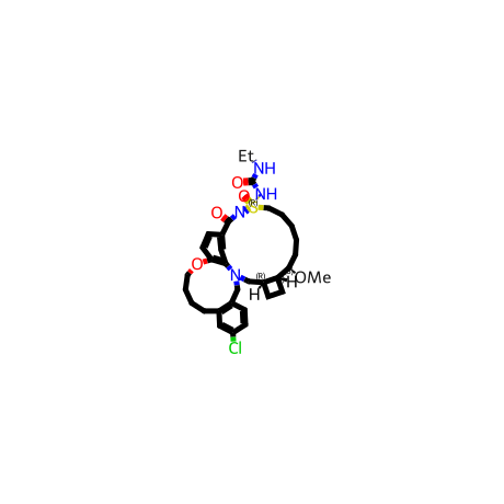 CCNC(=O)N[S@@]1(=O)=NC(=O)c2ccc3c(c2)N(Cc2ccc(Cl)cc2CCCCO3)C[C@@H]2CC[C@H]2[C@@H](OC)CCCCC1